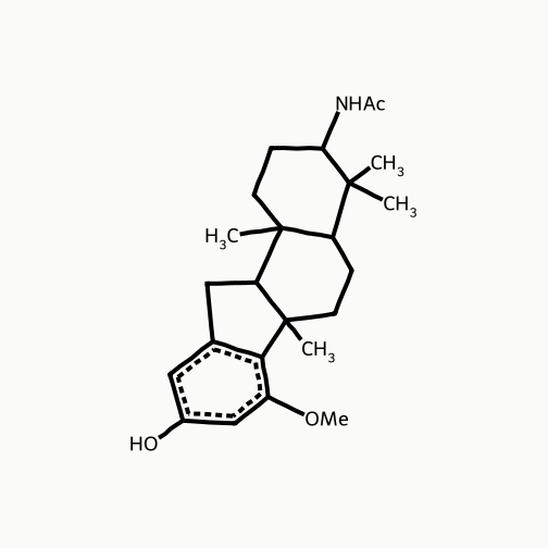 COc1cc(O)cc2c1C1(C)CCC3C(C)(C)C(NC(C)=O)CCC3(C)C1C2